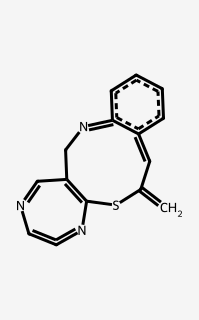 C=C1/C=c2/cccc/c2=N/CC2=C(N=C=CN=C2)S1